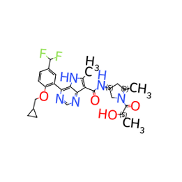 Cc1[nH]c2c(-c3cc(C(F)F)ccc3OCC3CC3)ncnc2c1C(=O)N[C@H]1C[C@@H](C)N(C(=O)[C@H](C)O)C1